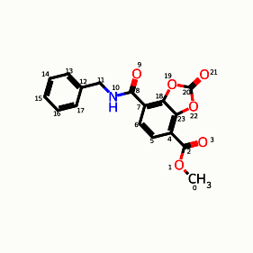 COC(=O)c1ccc(C(=O)NCc2ccccc2)c2oc(=O)oc12